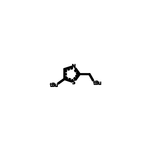 CC(C)(C)Cc1ncc(C(C)(C)C)s1